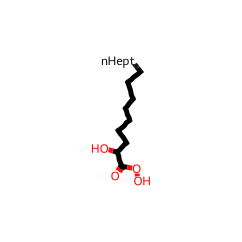 CCCCCCCCCCCCCCC(O)C(=O)OO